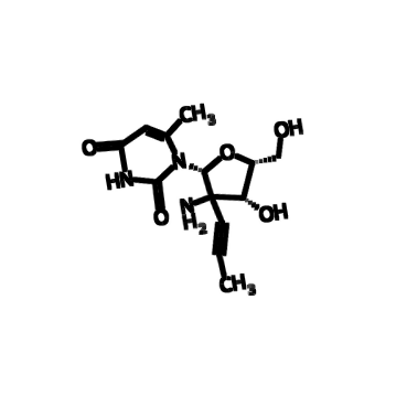 CC#CC1(N)[C@@H](O)[C@@H](CO)O[C@H]1n1c(C)cc(=O)[nH]c1=O